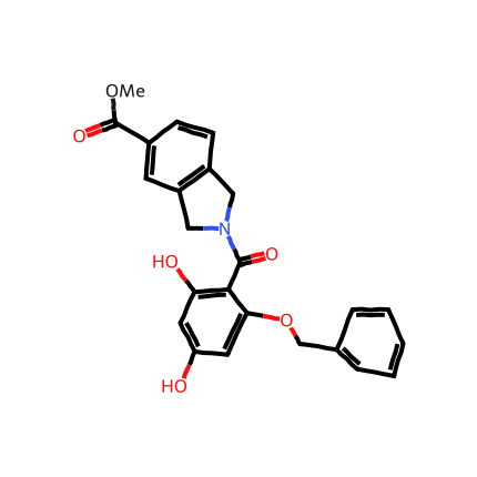 COC(=O)c1ccc2c(c1)CN(C(=O)c1c(O)cc(O)cc1OCc1ccccc1)C2